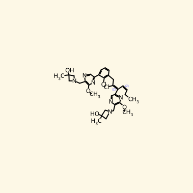 CC/C=C\C(=C(\Cl)Cc1cccc(-c2cnc(CN3CC(C)(O)C3)c(OC)n2)c1Cl)c1cnc(CN2CC(C)(O)C2)c(OC)n1